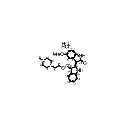 COc1ccc2c(c1)/C(=C1/Nc3ccccc3/C1=N\OCCN1CCN(C)CC1)C(=O)N2.Cl.Cl